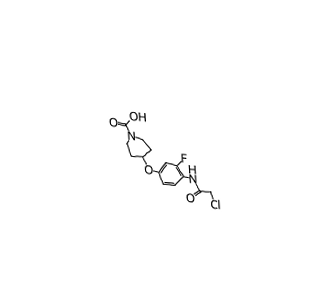 O=C(CCl)Nc1ccc(OC2CCN(C(=O)O)CC2)cc1F